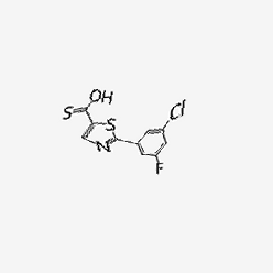 OC(=S)c1cnc(-c2cc(F)cc(Cl)c2)s1